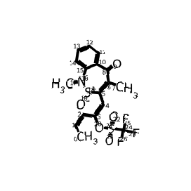 C/C=C\C(=C/C1=C(C)C(=O)c2ccccc2N(C)[S+]1[O-])OS(=O)(=O)C(F)(F)F